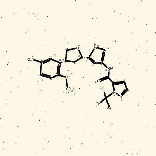 [2H]C([2H])([2H])n1nccc1C(=O)Nc1cc([C@@H]2C[C@H](c3cc([N+](=O)[O-])ccc3OC(=O)O)CO2)[nH]n1